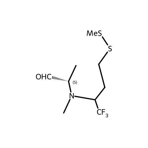 CSSCCC(N(C)[C@@H](C)C=O)C(F)(F)F